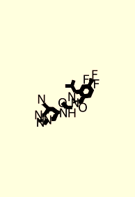 CC(C)c1nn(CC(=O)Nc2cc(C#N)c3nncn3c2)c(=O)c2ccc(C(F)(F)F)cc12